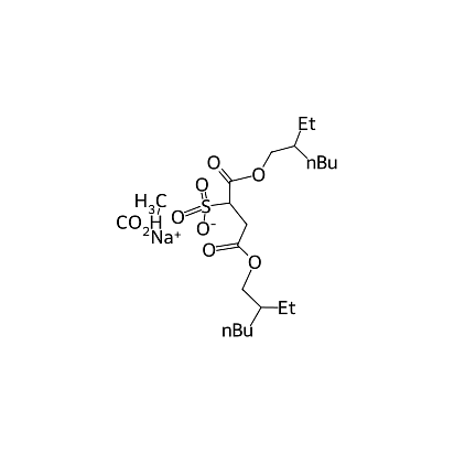 CC(=O)O.CCCCC(CC)COC(=O)CC(C(=O)OCC(CC)CCCC)S(=O)(=O)[O-].[Na+]